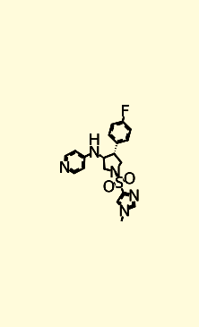 Cn1cnc(S(=O)(=O)N2C[C@@H](Nc3ccncc3)[C@H](c3ccc(F)cc3)C2)c1